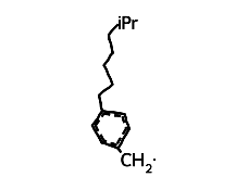 [CH2]c1ccc(CCCCCC(C)C)cc1